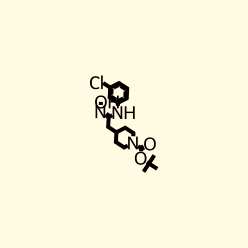 CC(C)(C)OC(=O)N1CCC(C/C(=N/O)Nc2cccc(Cl)c2)CC1